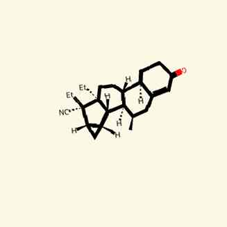 CC[C@]12CC[C@H]3[C@H]([C@@H]1[C@@H]1C[C@@H]1[C@@]2(C#N)CC)[C@H](C)CC1=CC(=O)CC[C@@H]13